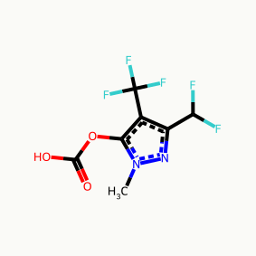 Cn1nc(C(F)F)c(C(F)(F)F)c1OC(=O)O